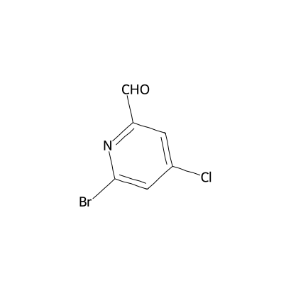 O=Cc1cc(Cl)cc(Br)n1